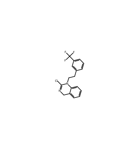 FC(F)(F)c1cccc(CCN2C(Cl)=NCc3ccccc32)c1